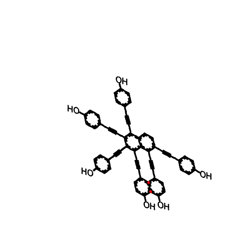 Oc1ccc(C#Cc2ccc3c(C#Cc4ccc(O)cc4)c(C#Cc4ccc(O)cc4)c(C#Cc4ccc(O)cc4)c(C#Cc4ccc(O)cc4)c3c2C#Cc2ccc(O)cc2)cc1